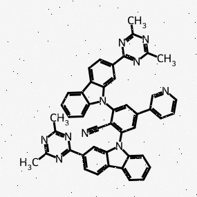 Cc1nc(C)nc(-c2ccc3c4ccccc4n(-c4cc(-c5cccnc5)cc(-n5c6ccccc6c6ccc(-c7nc(C)nc(C)n7)cc65)c4C#N)c3c2)n1